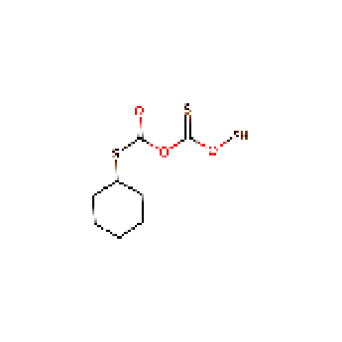 O=C(OC(=S)OS)SC1CCCCC1